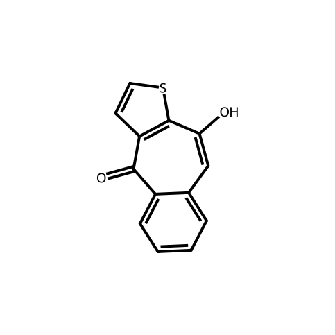 O=c1c2ccccc2cc(O)c2sccc12